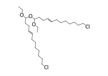 CCOC(CCC=CCCCCCCCCl)OC(CCC=CCCCCCCCCl)OCC